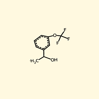 [CH2]C(O)c1cccc(OC(F)(F)F)c1